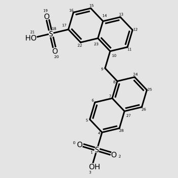 O=S(=O)(O)c1ccc2c(Cc3cccc4ccc(S(=O)(=O)O)cc34)cccc2c1